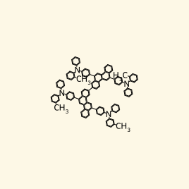 Cc1cccc(N(c2ccccc2)c2ccc(-c3cc4c5cc(-c6ccc7c(c6)c(-c6ccc(N(c8ccccc8)c8ccccc8C)cc6)cc6c8ccccc8c(-c8ccc(N(c9ccccc9)c9ccccc9C)cc8)cc76)ccc5c(-c5ccc(N(c6ccccc6)c6cccc(C)c6)cc5)cc4c4ccccc34)cc2)c1